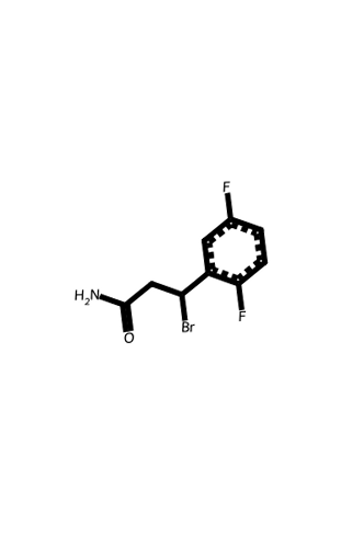 NC(=O)CC(Br)c1cc(F)ccc1F